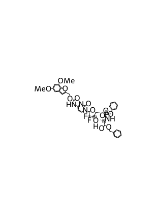 COc1cc(OC)c2oc(COC(=O)Nc3ccn(C4OC(COP(=O)(N[C@@H](C)C(=O)OCc5ccccc5)Oc5ccccc5)[C@@H](O)C4(F)F)c(=O)n3)cc2c1